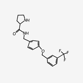 O=C(NCc1ccc(OCc2cccc(C(F)(F)F)c2)cc1)C1CCCN1